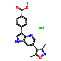 COC(=O)c1ccc(-c2c[nH]c3cc(-c4c(C)noc4C)cnc23)cc1.Cl